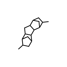 CC1CC2CC1C1CC3C4CC(C)C(C4)C3C21